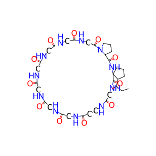 CCC(C)C1CCCC12NC(=O)C1CCCN1C(=O)CNC(=O)CNC(=O)CNC(=O)CNC(=O)CNC(=O)CNC(=O)CNC(=O)CCNC(=O)CNC2=O